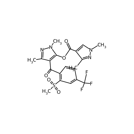 Cc1nn(C)cc1C(=O)Oc1c(C(=O)c2ccc(C(F)(F)F)cc2S(C)(=O)=O)c(C)nn1C